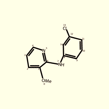 COc1cccnc1Nc1cccc(Cl)c1